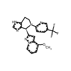 COc1cccn2nc([C@H]3c4nc[nH]c4CCN3c3ccc(C(F)(F)F)cn3)cc12